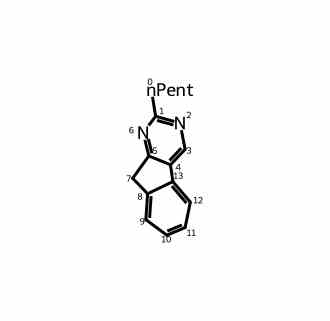 CCCCCc1ncc2c(n1)Cc1ccccc1-2